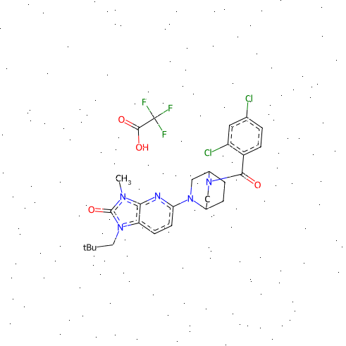 Cn1c(=O)n(CC(C)(C)C)c2ccc(N3CC4CCC3CN4C(=O)c3ccc(Cl)cc3Cl)nc21.O=C(O)C(F)(F)F